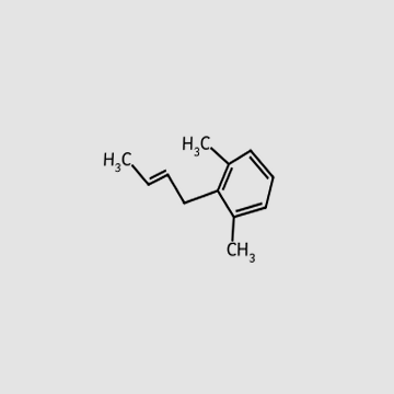 CC=CCc1c(C)cccc1C